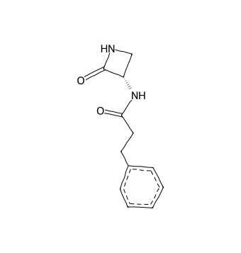 O=C(CCc1ccccc1)N[C@H]1CNC1=O